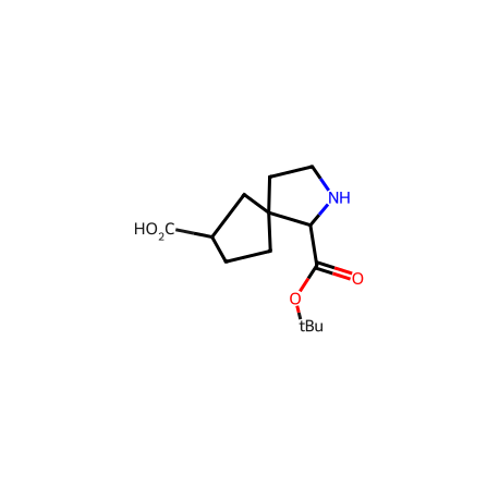 CC(C)(C)OC(=O)C1NCCC12CCC(C(=O)O)C2